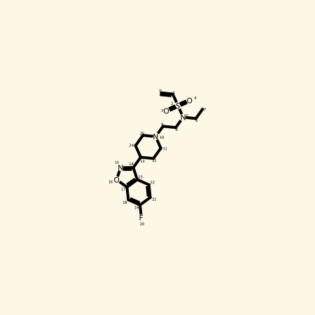 C=CS(=O)(=O)N(CC)CCN1CCC(c2noc3cc(F)ccc23)CC1